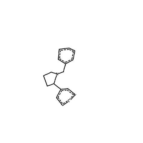 [c]1cccc(C2CCCN2Cc2ccccc2)c1